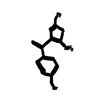 CCc1cc(C(=O)c2ccc(Br)cc2)c(N)s1